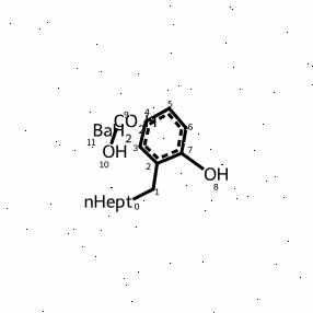 CCCCCCCCc1ccccc1O.O=C(O)O.[BaH2]